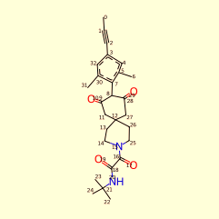 CC#Cc1cc(C)c(C2C(=O)CC3(CCN(C(=O)C(=O)NC(C)(C)C)CC3)CC2=O)c(C)c1